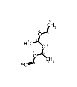 CCOC(C)OC(C)O[C]=O